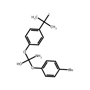 CC(C)(C)c1ccc(OC(N)(O)Oc2ccc(C(C)(C)I)cc2)cc1